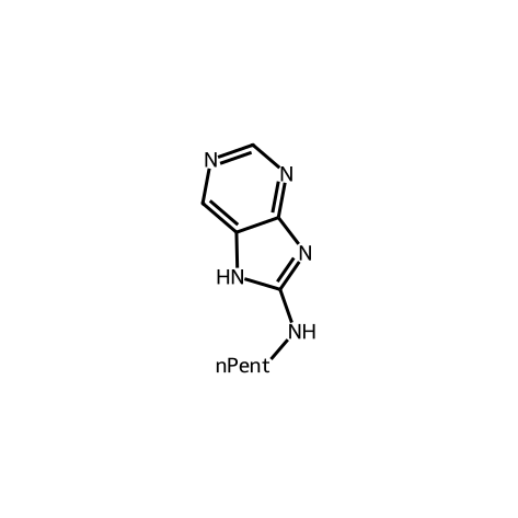 CCCCCNc1nc2ncncc2[nH]1